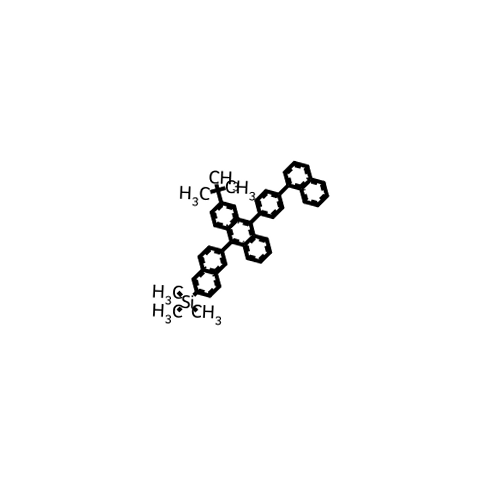 CC(C)(C)c1ccc2c(-c3ccc4cc([Si](C)(C)C)ccc4c3)c3ccccc3c(-c3ccc(-c4cccc5ccccc45)cc3)c2c1